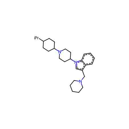 CC(C)C1CCC(N2CCC(n3cc(CN4CCCCC4)c4ccccc43)CC2)CC1